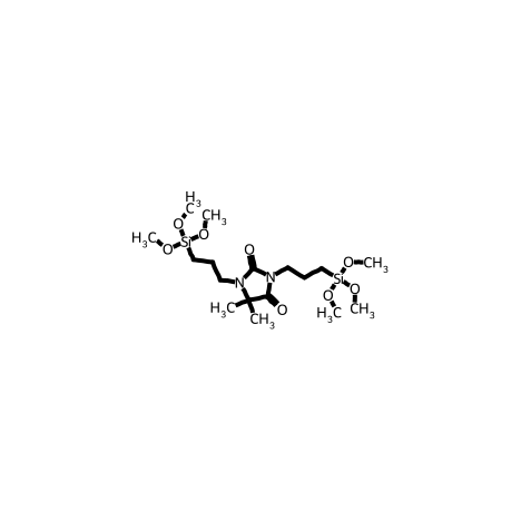 CO[Si](CCCN1C(=O)N(CCC[Si](OC)(OC)OC)C(C)(C)C1=O)(OC)OC